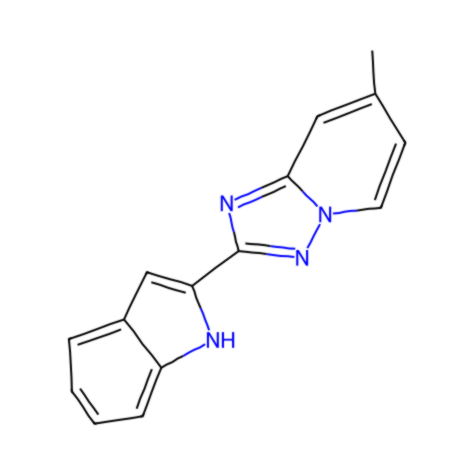 Cc1ccn2nc(-c3cc4ccccc4[nH]3)nc2c1